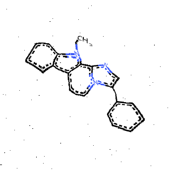 Cn1c2ccccc2c2ccn3c(-c4ccccc4)cnc3c21